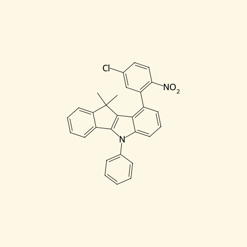 CC1(C)c2ccccc2-c2c1c1c(-c3cc(Cl)ccc3[N+](=O)[O-])cccc1n2-c1ccccc1